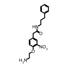 NCCOc1ccc(CC(=O)NCCCc2ccccc2)cc1[N+](=O)[O-]